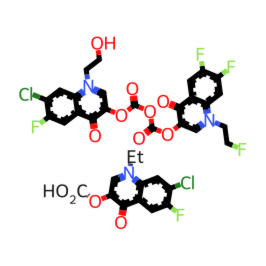 CCn1cc(OC(=O)O)c(=O)c2cc(F)c(Cl)cc21.O=C(OC(=O)Oc1cn(CCF)c2cc(F)c(F)cc2c1=O)Oc1cn(CCO)c2cc(Cl)c(F)cc2c1=O